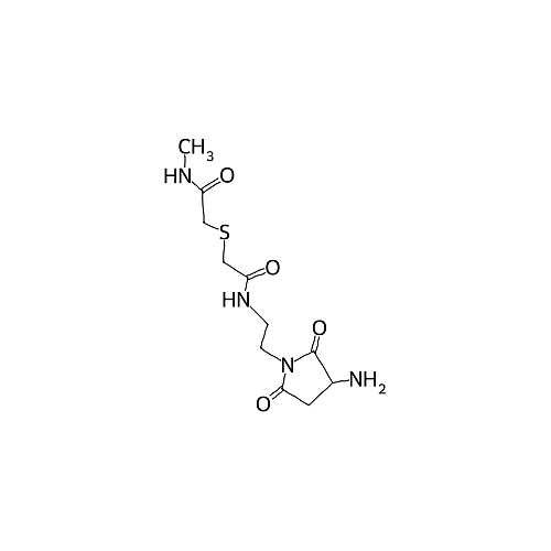 CNC(=O)CSCC(=O)NCCN1C(=O)CC(N)C1=O